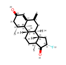 C=C1C[C@@H]2[C@H](CC[C@]3(C)C(=O)[C@@H](F)C[C@@H]23)[C@]2(C)C1=CC(=O)C[C@H]2C